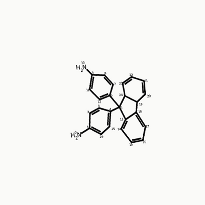 Nc1ccc(C2(c3ccc(N)cc3)c3ccccc3C3C=CC=CC32)cc1